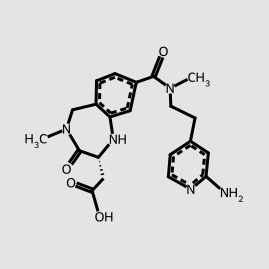 CN(CCc1ccnc(N)c1)C(=O)c1ccc2c(c1)N[C@H](CC(=O)O)C(=O)N(C)C2